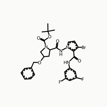 CC(C)(C)OC(=O)N1CC(OCc2ccccc2)CC1C(=O)Nn1ccc(Br)c1C(=O)Nc1cc(F)cc(F)c1